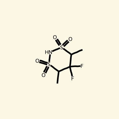 CC1C(F)(F)C(C)S(=O)(=O)NS1(=O)=O